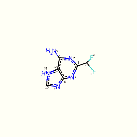 Nc1nc(C(F)F)nc2nc[nH]c12